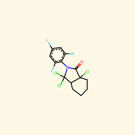 O=C1N(c2c(F)cc(F)cc2F)C(Cl)(Cl)C2CCCCC12Cl